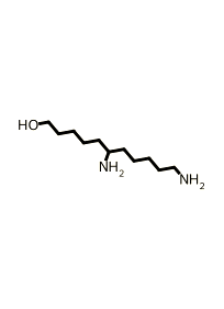 NCCCCCC(N)CCCCCO